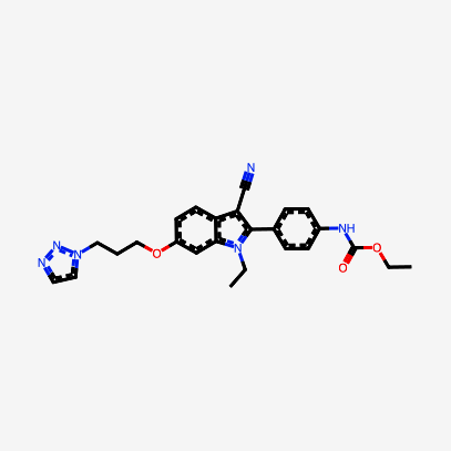 CCOC(=O)Nc1ccc(-c2c(C#N)c3ccc(OCCCn4ccnn4)cc3n2CC)cc1